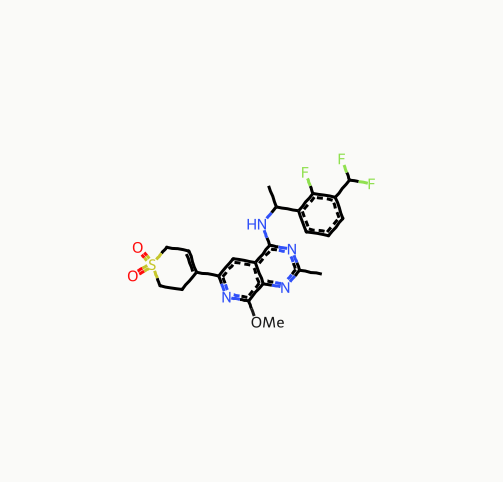 COc1nc(C2=CCS(=O)(=O)CC2)cc2c(NC(C)c3cccc(C(F)F)c3F)nc(C)nc12